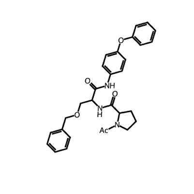 CC(=O)N1CCCC1C(=O)NC(COCc1ccccc1)C(=O)Nc1ccc(Oc2ccccc2)cc1